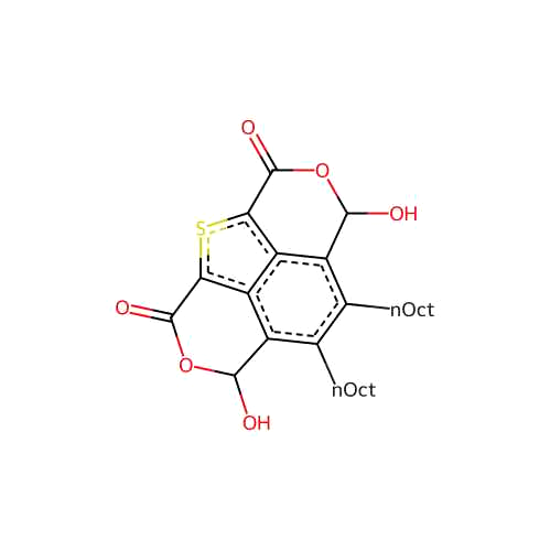 CCCCCCCCc1c(CCCCCCCC)c2c3c(sc4c3c1C(O)OC4=O)C(=O)OC2O